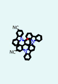 N#Cc1ccc(-c2ccccc2-n2c3ccccc3c3cc(C#N)ccc32)c(-n2c3ccccc3c3ccc(-n4c5ccccc5c5ccccc54)cc32)c1